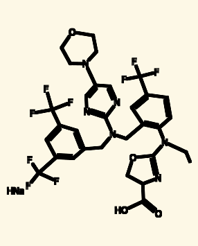 CCN(C1=NC(C(=O)O)CO1)c1ccc(C(F)(F)F)cc1CN(Cc1cc(C(F)(F)F)cc(C(F)(F)F)c1)c1ncc(N2CCOCC2)cn1.[NaH]